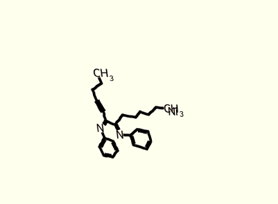 CCCC#CC(=Nc1ccccc1)C(CCCCCC)=Nc1ccccc1.[Ni]